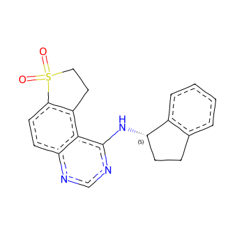 O=S1(=O)CCc2c1ccc1ncnc(N[C@H]3CCc4ccccc43)c21